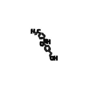 Cc1ccc(NC(=O)c2ccc(CCO)cc2)cc1